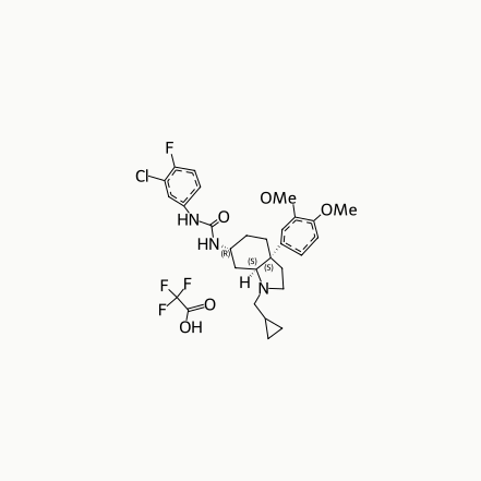 COc1ccc([C@@]23CC[C@@H](NC(=O)Nc4ccc(F)c(Cl)c4)C[C@@H]2N(CC2CC2)CC3)cc1OC.O=C(O)C(F)(F)F